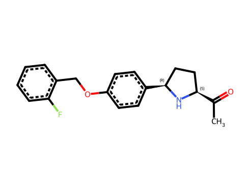 CC(=O)[C@@H]1CC[C@H](c2ccc(OCc3ccccc3F)cc2)N1